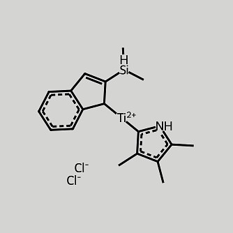 Cc1[nH][c]([Ti+2][CH]2C([SiH](C)C)=Cc3ccccc32)c(C)c1C.[Cl-].[Cl-]